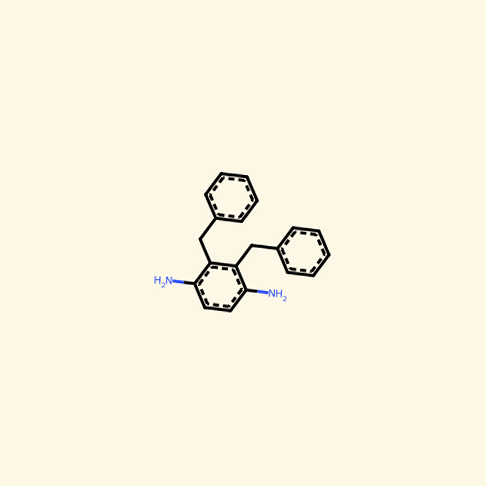 Nc1ccc(N)c(Cc2ccccc2)c1Cc1ccccc1